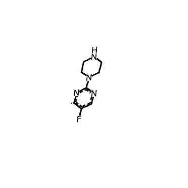 Fc1[c]nc(N2CCNCC2)nc1